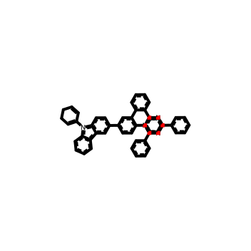 C1=CC(n2c3ccccc3c3cc(-c4ccc(-c5ccccc5)c(-c5ccccc5-c5nc(-c6ccccc6)nc(-c6ccccc6)n5)c4)ccc32)=CCC1